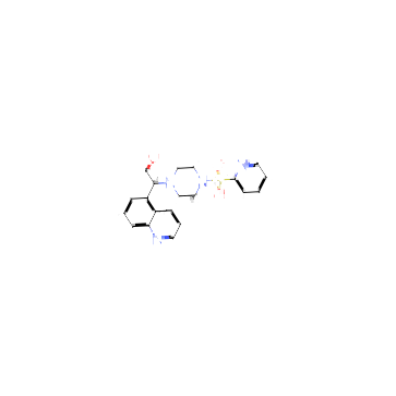 C[C@@H]1CN(C([C]=O)c2cccc3ncccc23)CCN1S(=O)(=O)c1ccccn1